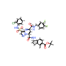 Cc1c(C(=O)OC(C)(C)C)ccc2c1CC[C@@H]2NC(=O)c1cc(C(=O)NCc2ccc(F)c(F)c2)nc2c(S(=O)(=O)Nc3ccccc3Cl)cnn12